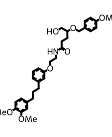 COc1ccc(COC(CO)CCC(=O)NCCOc2cccc(CCCc3ccc(OC)c(OC)c3)c2)cc1